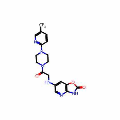 O=C(CNc1cnc2[nH]c(=O)oc2c1)N1CCN(c2ccc(C(F)(F)F)cn2)CC1